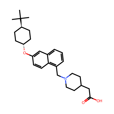 CC(C)(C)[C@H]1CC[C@H](Oc2ccc3c(CN4CCC(CC(=O)O)CC4)cccc3c2)CC1